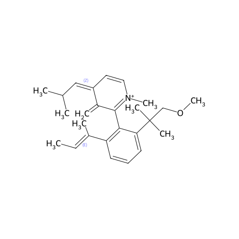 C=c1c(-c2c(/C(C)=C/C)cccc2C(C)(C)COC)[n+](C)cc/c1=C/C(C)C